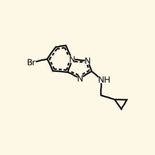 Brc1ccn2nc(NCC3CC3)nc2c1